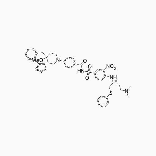 COC1(Cc2ccccc2-c2cccs2)CCN(c2ccc(C(=O)NS(=O)(=O)c3ccc(N[C@H](CCN(C)C)CSc4ccccc4)c([N+](=O)[O-])c3)cc2)CC1